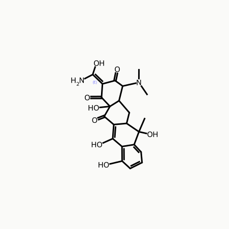 CN(C)C1C(=O)/C(=C(/N)O)C(=O)C2(O)C(=O)C3=C(O)c4c(O)cccc4C(C)(O)C3CC12